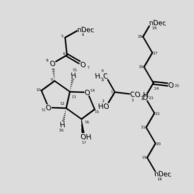 CC(O)C(=O)O.CCCCCCCCCCCC(=O)O[C@H]1CO[C@H]2[C@@H]1OC[C@H]2O.CCCCCCCCCCCCCCOC(=O)CCCCCCCCCCCCC